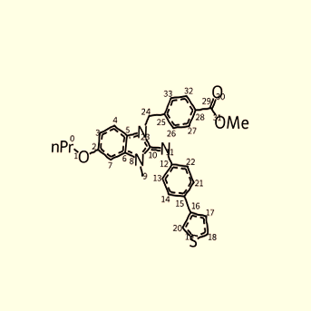 CCCOc1ccc2c(c1)n(C)c(=Nc1ccc(-c3ccsc3)cc1)n2Cc1ccc(C(=O)OC)cc1